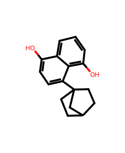 Oc1ccc(C23CCC(CC2)C3)c2c(O)cccc12